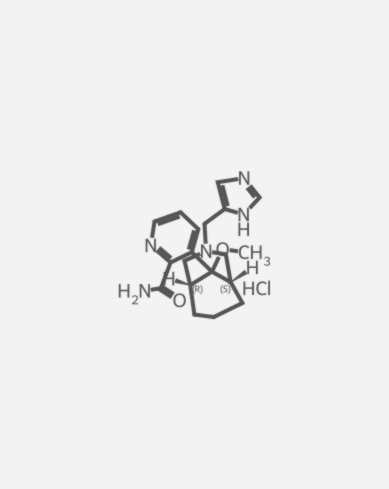 COC1(c2cccnc2C(N)=O)[C@@H]2CCC[C@H]1CN(Cc1cnc[nH]1)C2.Cl